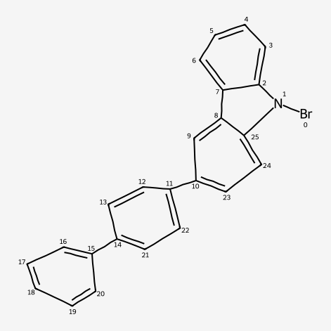 Brn1c2ccccc2c2cc(-c3ccc(-c4ccccc4)cc3)ccc21